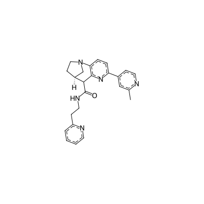 Cc1cc(-c2ccc3c(n2)C(C(=O)NCCc2ccccn2)[C@H]2CCN3C2)ccn1